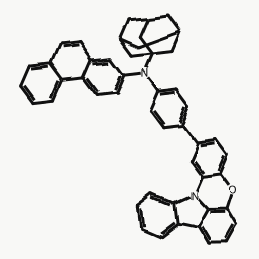 c1ccc2c(c1)ccc1cc(N(c3ccc(-c4ccc5c(c4)-n4c6ccccc6c6cccc(c64)O5)cc3)C34CC5CC(CC(C5)C3)C4)ccc12